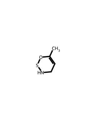 CC1=CCNSO1